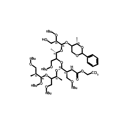 CCCCOCC(O[C@@H](OCCCC)[C@@H](C)COCCCC)[C@H](C)O[C@H](OC(COCCCC)[C@H](C)O[C@H](OC1COC(c2ccccc2)O[C@H]1C)[C@@H](CO)OCCCC)[C@H](COCCCC)NC(=O)OCC(Cl)(Cl)Cl